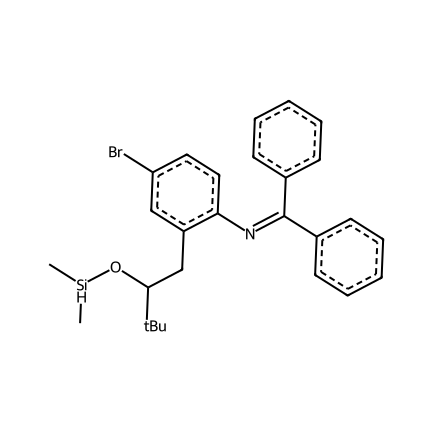 C[SiH](C)OC(Cc1cc(Br)ccc1N=C(c1ccccc1)c1ccccc1)C(C)(C)C